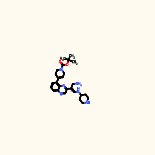 CC(C)(C)OC(=O)N1CC=C(c2cccc3ncc(/C(=C/NC4CCNCC4)CN)nc23)CC1